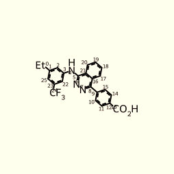 CCc1cc(Nc2nnc(-c3ccc(C(=O)O)cc3)c3ccccc23)cc(C(F)(F)F)c1